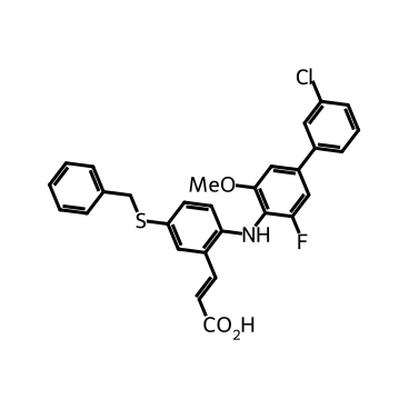 COc1cc(-c2cccc(Cl)c2)cc(F)c1Nc1ccc(SCc2ccccc2)cc1C=CC(=O)O